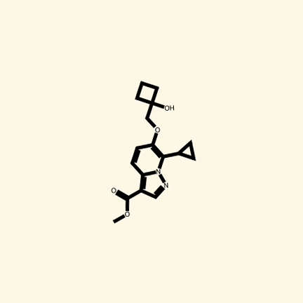 COC(=O)c1cnn2c(C3CC3)c(OCC3(O)CCC3)ccc12